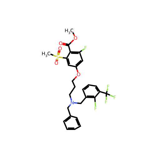 COC(=O)c1c(F)cc(OCCCN(Cc2ccccc2)Cc2cccc(C(F)(F)F)c2F)cc1S(C)(=O)=O